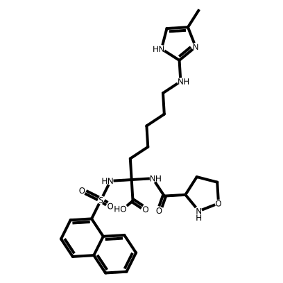 Cc1c[nH]c(NCCCCCC(NC(=O)C2CCON2)(NS(=O)(=O)c2cccc3ccccc23)C(=O)O)n1